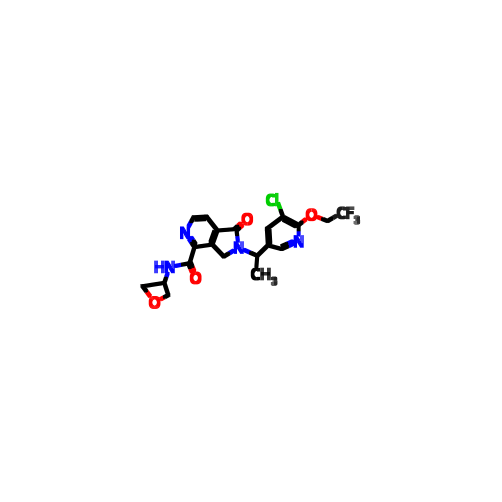 CC(c1cnc(OCC(F)(F)F)c(Cl)c1)N1Cc2c(ccnc2C(=O)NC2COC2)C1=O